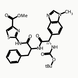 COC(=O)c1csc(NC(=O)C(Cc2ccccc2)NC(=O)[C@@H](NC(=O)OC(C)(C)C)c2ccc3c(c2)ncn3C)n1